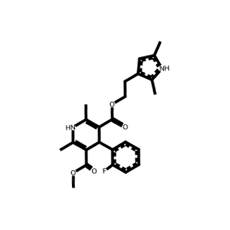 COC(=O)C1=C(C)NC(C)=C(C(=O)OCCc2cc(C)[nH]c2C)C1c1ccccc1F